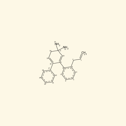 C=CCc1ccccc1C1=CC(N)(N)CC=C1c1ccccc1